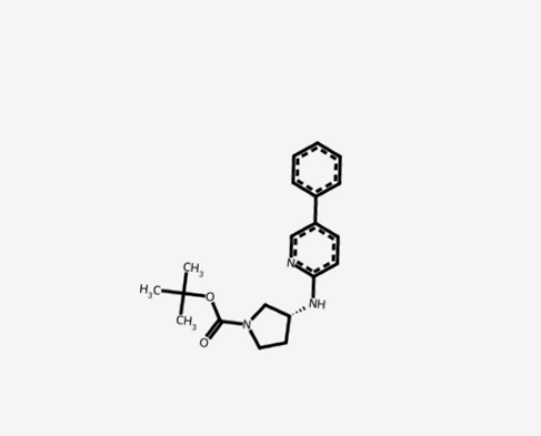 CC(C)(C)OC(=O)N1CC[C@@H](Nc2ccc(-c3ccccc3)cn2)C1